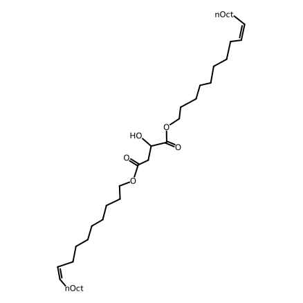 CCCCCCCC/C=C\CCCCCCCCOC(=O)CC(O)C(=O)OCCCCCCCC/C=C\CCCCCCCC